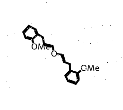 COc1ccccc1CC=COC=CCc1ccccc1OC